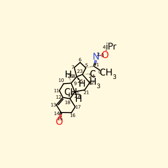 C/C(=N\OC(C)C)[C@H]1CC[C@H]2[C@@H]3CCC4=CC(=O)CC[C@]4(C)[C@H]3CC[C@]12C